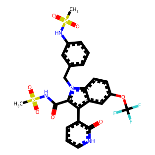 CS(=O)(=O)NC(=O)c1c(-c2ccc[nH]c2=O)c2cc(OC(F)(F)F)ccc2n1Cc1cccc(NS(C)(=O)=O)c1